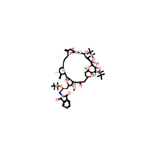 C=C1C[C@@H]2CCC(O)/C=C/[C@H](O[Si](C)(C)C(C)(C)C)C3O[C@H]4CCC(CC(=O)C[C@H]5[C@H](CC6O[C@@H](CCC1O2)C[C@@H](C)C6=C)OC(C[C@@H](CN1C(=O)c2ccccc2C1=O)O[Si](C)(C)C(C)(C)C)[C@@H]5OC)O[C@@H]4[C@H](C)[C@@H]3O[Si](C)(C)C(C)(C)C